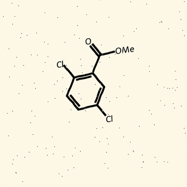 [CH2]OC(=O)c1cc(Cl)ccc1Cl